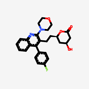 O=C1C[C@@H](O)C[C@@H](CCc2c(N3CCOCC3)nc3ccccc3c2-c2ccc(F)cc2)O1